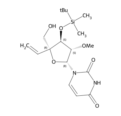 C=C[C@]1(CO)O[C@@H](n2ccc(=O)[nH]c2=O)[C@@H](OC)[C@@H]1O[Si](C)(C)C(C)(C)C